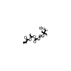 C=CC(=O)OC(C)OC(=O)OOOC(C)(C)CC(C)(C)C